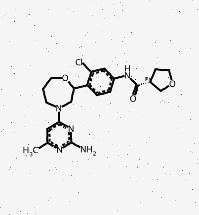 Cc1cc(N2CCCOC(c3ccc(NC(=O)[C@@H]4CCOC4)cc3Cl)C2)nc(N)n1